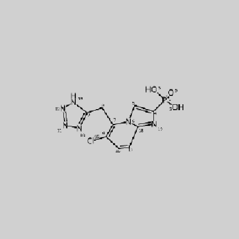 O=P(O)(O)c1cn2c(Cc3nnn[nH]3)c(Cl)ccc2n1